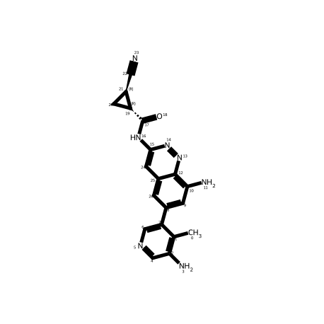 Cc1c(N)cncc1-c1cc(N)c2nnc(NC(=O)[C@@H]3C[C@H]3C#N)cc2c1